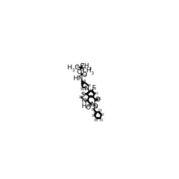 CC(C)(C)OC(=O)NC1C2CN(c3c(F)cc4c5c3SCNC5C(=O)N(OCc3ccccc3)C4=O)CC21